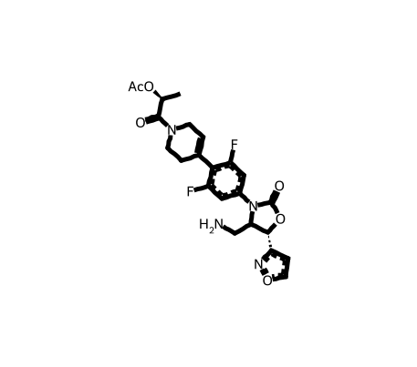 CC(=O)O[C@@H](C)C(=O)N1CC=C(c2c(F)cc(N3C(=O)O[C@H](c4ccon4)C3CN)cc2F)CC1